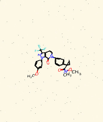 COc1ccc(-n2nc(C(F)(F)F)c3c2C(=O)N(c2ccc(C4(C(=O)N(C)OC)CC4)cc2)CC3)cc1